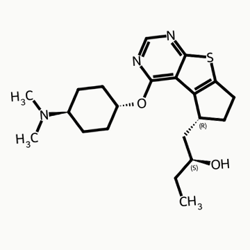 CC[C@H](O)C[C@H]1CCc2sc3ncnc(O[C@H]4CC[C@H](N(C)C)CC4)c3c21